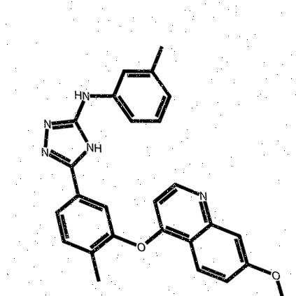 COc1ccc2c(Oc3cc(-c4nnc(Nc5cccc(C)c5)[nH]4)ccc3C)ccnc2c1